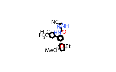 CC[C@@]12CC[C@@](COC)(C[C@H](c3ccc(NC(=O)c4nc(C#N)c[nH]4)c(C4=CCC(C)(C)CC4)c3)C1)O2